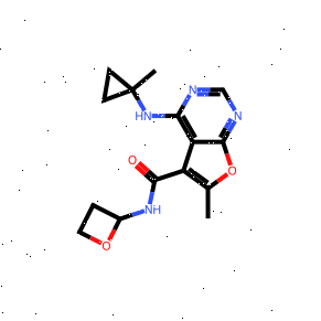 Cc1oc2ncnc(NC3(C)CC3)c2c1C(=O)NC1CCO1